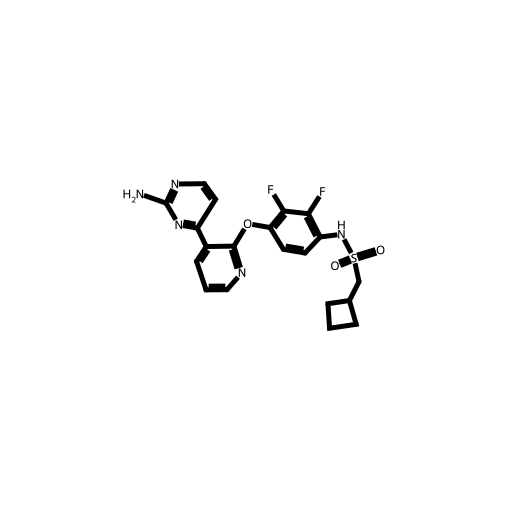 Nc1nccc(-c2cccnc2Oc2ccc(NS(=O)(=O)CC3CCC3)c(F)c2F)n1